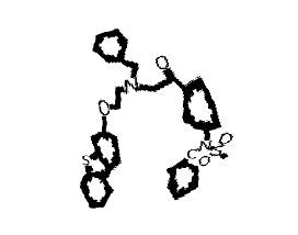 CS(=O)(=O)N(Cc1ccccc1)c1cccc(C(=O)CN(CCOc2ccc3c(c2)sc2ccccc23)Cc2ccccc2)c1